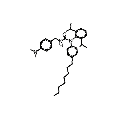 CCCCCCCCc1ccc(N(C(=O)NCc2ccc(N(C)C)cc2)c2c(C(C)C)cccc2C(C)C)cc1